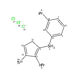 CCCC1=C([SiH2]c2cccc(C(C)C)c2)CC=[C]1[Ti+3].[Cl-].[Cl-].[Cl-]